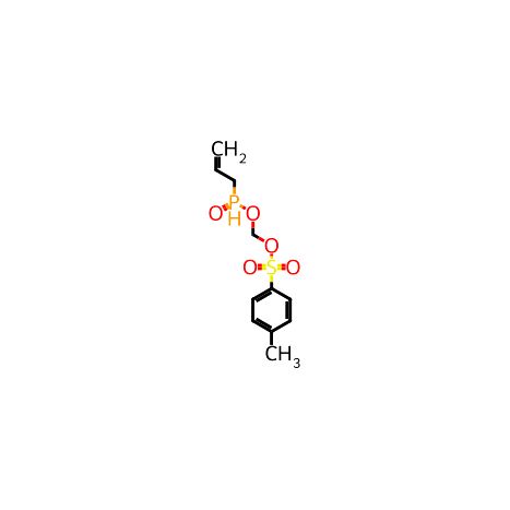 C=CC[PH](=O)OCOS(=O)(=O)c1ccc(C)cc1